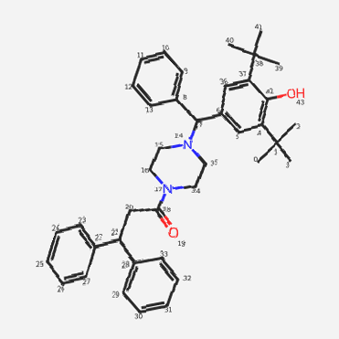 CC(C)(C)c1cc(C(c2ccccc2)N2CCN(C(=O)CC(c3ccccc3)c3ccccc3)CC2)cc(C(C)(C)C)c1O